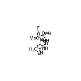 COc1nc(NS(=O)(=O)c2c[nH]c3c(-n4nccn4)c(C)ccc23)nc(OC)c1OCCF